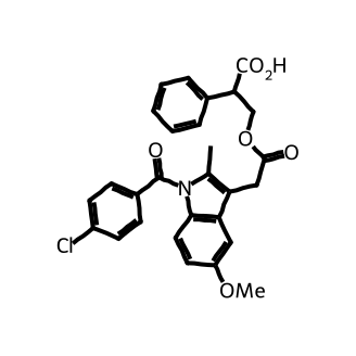 COc1ccc2c(c1)c(CC(=O)OCC(C(=O)O)c1ccccc1)c(C)n2C(=O)c1ccc(Cl)cc1